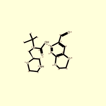 CC(C)(C)N(C[C@H]1CNCCO1)C(=O)O.O=Cc1cc2c(nn1)OCCO2